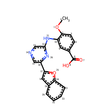 COc1ccc(C(=O)O)cc1Nc1cncc(-c2cc3ccccc3o2)n1